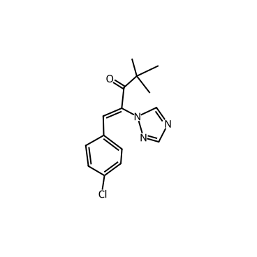 CC(C)(C)C(=O)C(=Cc1ccc(Cl)cc1)n1cncn1